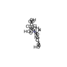 Cc1c(C#N)c(/N=N/c2c(C(=O)O)nn(-c3c(Cl)cc(S(=O)(=O)O)cc3Cl)c2O)nn1-c1nc2ccc(SOOO)cc2s1